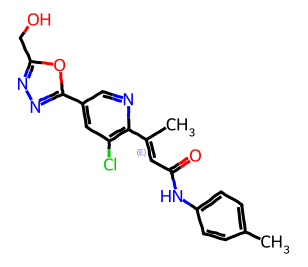 C/C(=C\C(=O)Nc1ccc(C)cc1)c1ncc(-c2nnc(CO)o2)cc1Cl